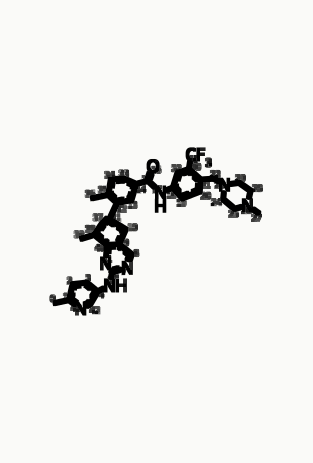 Cc1ccc(Nc2ncc3cc(-c4cc(C(=O)Nc5ccc(CN6CCN(C)CC6)c(C(F)(F)F)c5)ccc4C)cc(C)c3n2)cn1